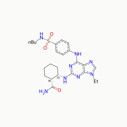 CCCCNS(=O)(=O)c1ccc(Nc2nc(N[C@H]3CCCC[C@H]3C(N)=O)nc3c2ncn3CC)cc1